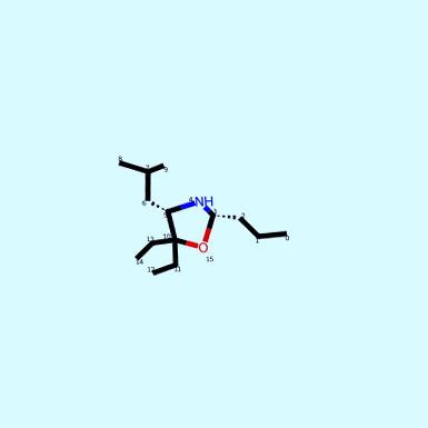 CCC[C@H]1N[C@@H](CC(C)C)C(CC)(CC)O1